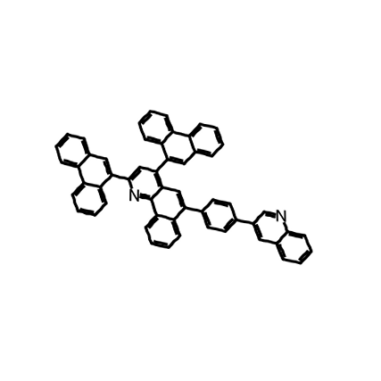 c1ccc2ncc(-c3ccc(-c4cc5c(-c6cc7ccccc7c7ccccc67)cc(-c6cc7ccccc7c7ccccc67)nc5c5ccccc45)cc3)cc2c1